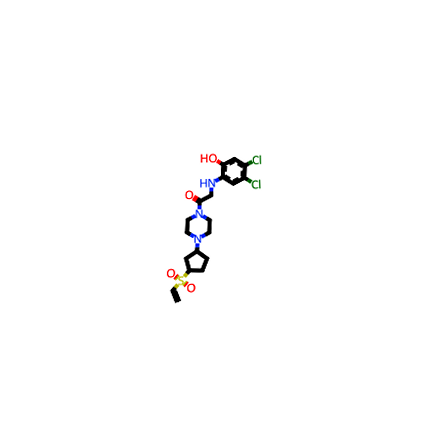 C=CS(=O)(=O)C1CCC(N2CCN(C(=O)CNc3cc(Cl)c(Cl)cc3O)CC2)C1